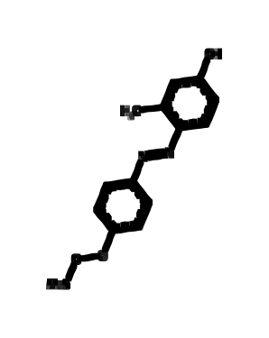 CSOOc1ccc(/N=N/c2ccc(O)cc2C)cc1